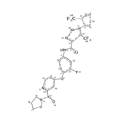 O=C(Nc1ccc(Oc2ccnc(C(=O)N3CCCC3)c2)c(F)c1)c1nnn(-c2ccccc2C(F)(F)F)c1C(F)(F)F